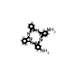 Nc1ccc2c(c1)C1=NC/2=N\C2N=C(/N=C3N=C(/N=c4\[nH]/c(c5ccc(N)cc45)=N\1)c1ccccc1\3)c1ccccc12